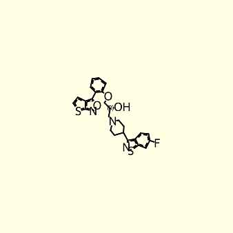 O[C@@H](COc1ccccc1-c1onc2sccc12)CN1CCC(c2nsc3cc(F)ccc23)CC1